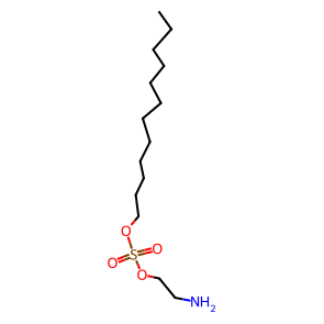 CCCCCCCCCCCCOS(=O)(=O)OCCN